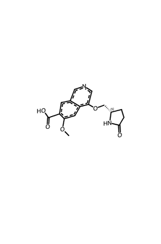 COc1cc2c(OC[C@@H]3CCC(=O)N3)cncc2cc1C(=O)O